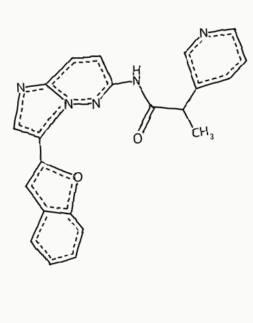 CC(C(=O)Nc1ccc2ncc(-c3cc4ccccc4o3)n2n1)c1cccnc1